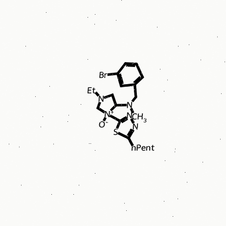 CCCCCc1nnc([N+]2([O-])CN(CC)CC2N(C)Cc2cccc(Br)c2)s1